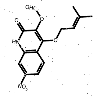 CC(C)=CCOc1c(OC=O)c(=O)[nH]c2cc([N+](=O)[O-])ccc12